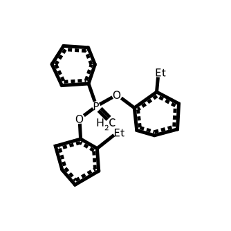 C=P(Oc1ccccc1CC)(Oc1ccccc1CC)c1ccccc1